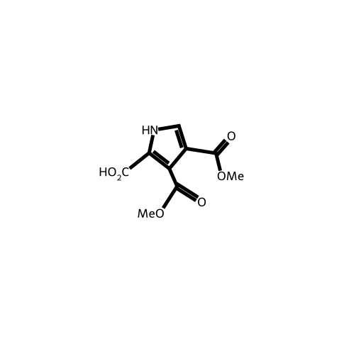 COC(=O)c1c[nH]c(C(=O)O)c1C(=O)OC